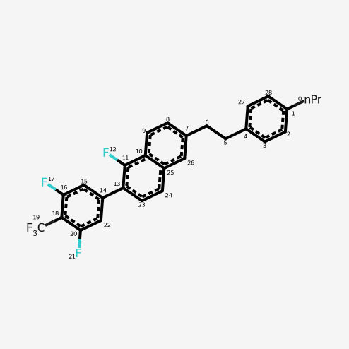 CCCc1ccc(CCc2ccc3c(F)c(-c4cc(F)c(C(F)(F)F)c(F)c4)ccc3c2)cc1